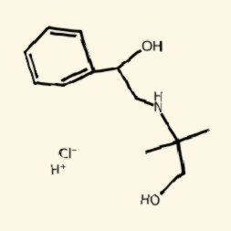 CC(C)(CO)NCC(O)c1ccccc1.[Cl-].[H+]